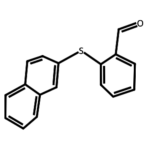 O=Cc1ccccc1Sc1ccc2ccccc2c1